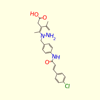 C=C(C)/C(CC(=O)O)=C(/C)N(N)Cc1ccc(NC(=O)/C=C/c2ccc(Cl)cc2)cc1